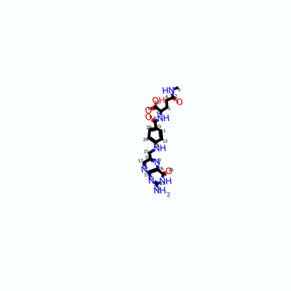 CNC(=O)CCC(NC(=O)c1ccc(NCc2cnc3nc(N)[nH]c(=O)c3n2)cc1)C(=O)O